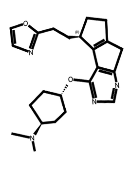 CN(C)[C@H]1CC[C@H](Oc2ncnc3c2C2=C(CC[C@@H]2CCc2ncco2)C3)CC1